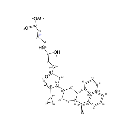 COC(=O)/C=C/CNC(O)CNC(=O)CN(C(=O)C1CC1)C1CCN([C@H](C)c2cccc3ccccc23)CC1